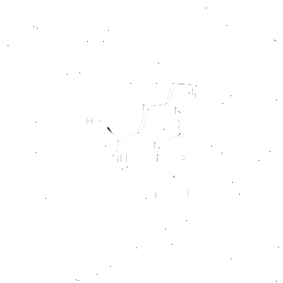 C[C@H](N)c1nc2cccn2c(=O)n1CC(F)(F)F